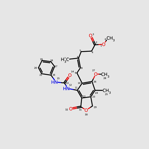 COC(=O)CC/C(C)=C/Cc1c(NC(=O)Nc2ccccc2)c2c(c(C)c1OC)COC2=O